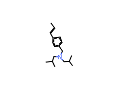 C/C=C/c1ccc(CN(CC(C)C)CC(C)C)cc1